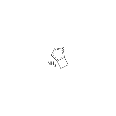 N.c1cc2c(s1)CC2